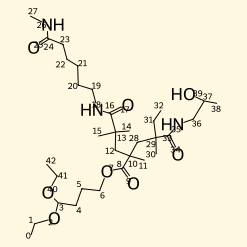 CCOC(CCCOC(=O)C(C)(CC(C)(C)C(=O)NCCCCCC(=O)NC)CC(C)(CC)C(=O)NCC(C)O)OCC